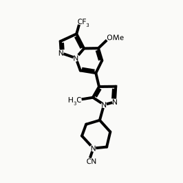 COc1cc(-c2cnn(C3CCN(C#N)CC3)c2C)cn2ncc(C(F)(F)F)c12